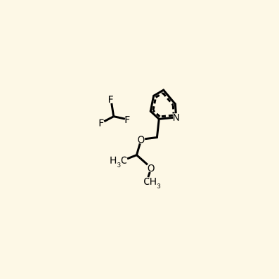 COC(C)OCc1ccccn1.FC(F)F